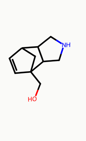 OCC12C=CC(C1)C1CNCC12